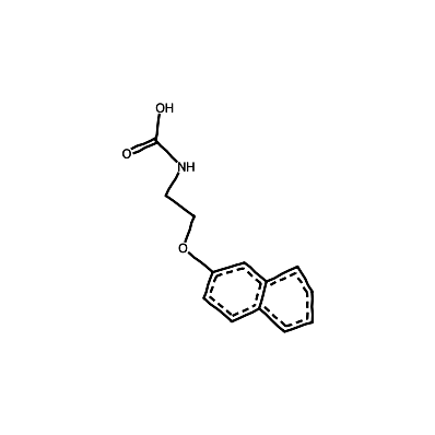 O=C(O)NCCOc1ccc2ccccc2c1